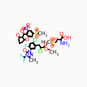 CCOC(=O)C(Cl)Cc1cc(-n2nc(C)n(C(F)F)c2=O)c(F)cc1Cl.CP(=O)(O)CCC(N)C(=O)O.CS(=O)(=O)c1ccc(C(=O)C2C(=O)CCCC2=O)c([N+](=O)[O-])c1